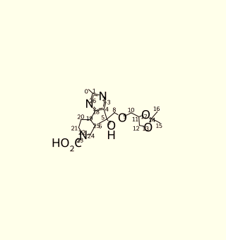 Cc1ncc(C(C)(O)COCC2COC(C)(C)O2)c(C2CCN(C(=O)O)CC2)n1